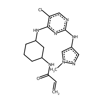 C=CC(=O)NC1CCCC(Nc2nc(Nc3cnn(C)c3)ncc2Cl)C1